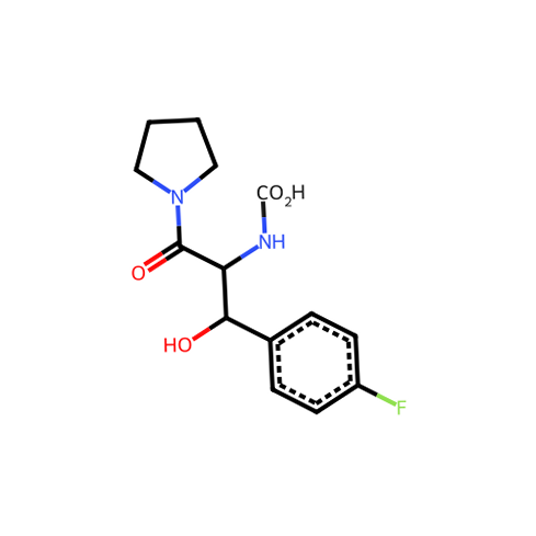 O=C(O)NC(C(=O)N1CCCC1)C(O)c1ccc(F)cc1